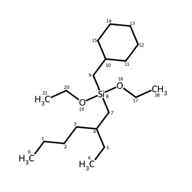 CCCCC(CC)C[Si]([CH]C1CCCCC1)(OCC)OCC